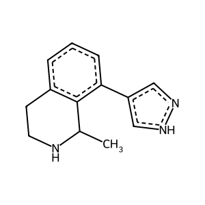 CC1NCCc2cccc(-c3cn[nH]c3)c21